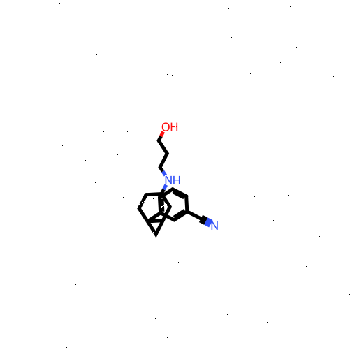 N#Cc1cccc(C23CCC(NCCCO)CC2C3)c1